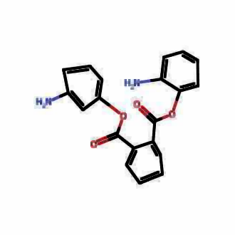 Nc1cccc(OC(=O)c2ccccc2C(=O)Oc2ccccc2N)c1